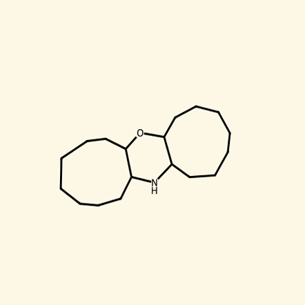 C1CCCC2NC3CCCCCCCC3OC2CCC1